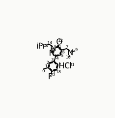 Cc1cc(-c2cc(CN(C)C)c(=O)n(CC(C)C)n2)ccc1F.Cl